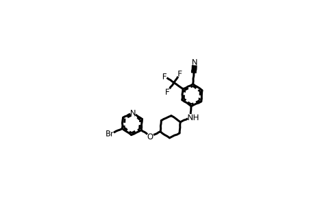 N#Cc1ccc(NC2CCC(Oc3cncc(Br)c3)CC2)cc1C(F)(F)F